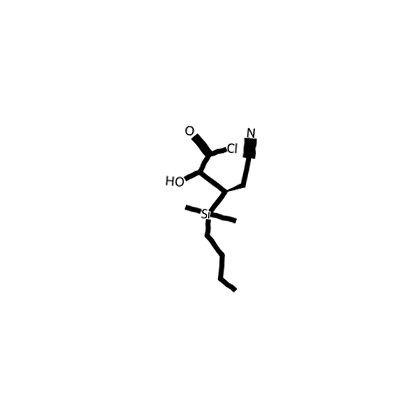 CCCC[Si](C)(C)[C@H](CC#N)C(O)C(=O)Cl